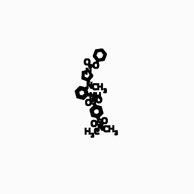 CN(c1ccccc1NS(=O)(=O)c1ccc(S(=O)(=O)N(C)C)cc1)C1CCN(C(=O)OC2CCCCC2)C1